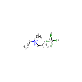 CC[NH+](C)CC.F[B-](F)(F)F